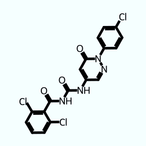 O=C(NC(=O)c1c(Cl)cccc1Cl)Nc1cnn(-c2ccc(Cl)cc2)c(=O)c1